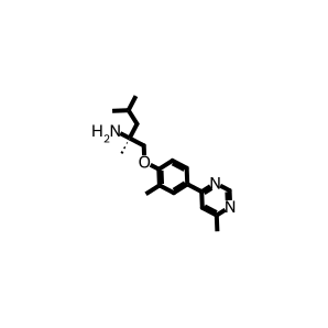 Cc1cc(-c2ccc(OC[C@@](C)(N)CC(C)C)c(C)c2)ncn1